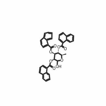 C[C@H]1OC(O)[C@@H](OC(=O)c2cccc3ccccc23)[C@@H](OC(=O)c2cccc3ccccc23)[C@@H]1OC(=O)c1cccc2ccccc12